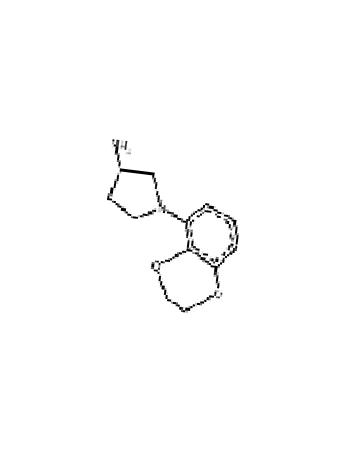 NC1CCN(c2cccc3c2OCCO3)C1